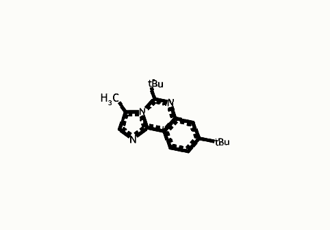 Cc1cnc2c3ccc(C(C)(C)C)cc3nc(C(C)(C)C)n12